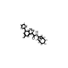 CC1=CC(C2N=CC=N2)C2=NN=C(C(=O)NC3CC4CCCC(C3)N4C)C2=C1